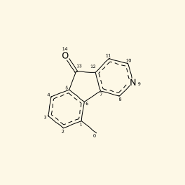 Cc1cccc2c1-c1cnccc1C2=O